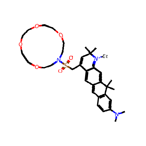 CC[N+]1=c2cc3c(cc2C(CS(=O)(=O)N2CCOCCOCCOCCOCC2)=CC1(C)C)=Cc1ccc(N(C)C)cc1C3(C)C